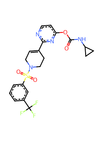 O=C(NC1CC1)Oc1ccnc(C2=CCN(S(=O)(=O)c3cccc(C(F)(F)F)c3)CC2)n1